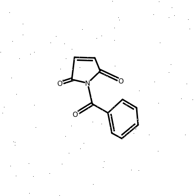 O=C1C=CC(=O)N1C(=O)c1ccccc1